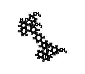 Cc1cc(C)c(N(c2ccc(-c3ccc(-c4ccc(N(c5c(C)cc(C)cc5C)c5cccc6ccccc56)cc4)cc3)cc2)c2cccc3ccccc23)c(C)c1